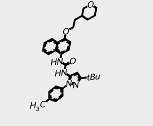 Cc1ccc(-n2nc(C(C)(C)C)cc2NC(=O)Nc2ccc(OCCC3CCCOC3)c3ccccc23)cc1